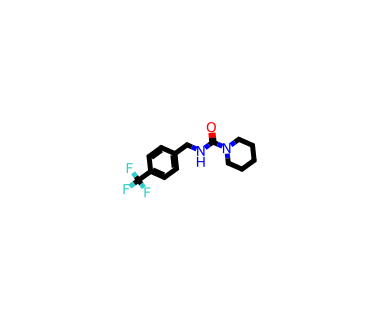 O=C(NCc1ccc(C(F)(F)F)cc1)N1CCCCC1